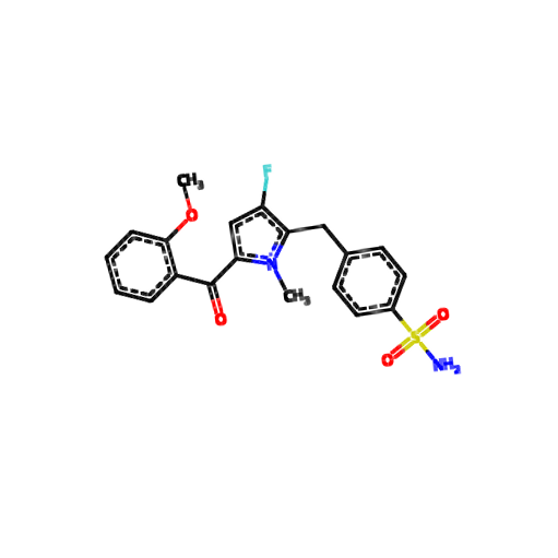 COc1ccccc1C(=O)c1cc(F)c(Cc2ccc(S(N)(=O)=O)cc2)n1C